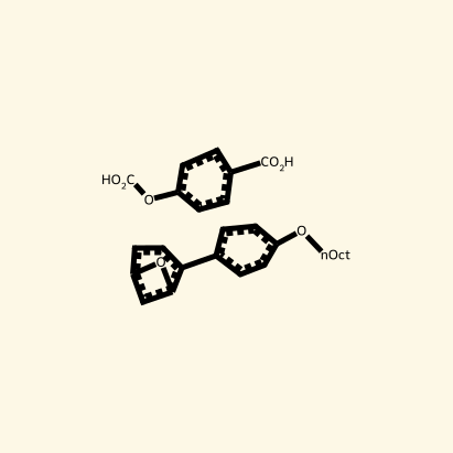 CCCCCCCCOc1ccc(-c2ccc3cc2O3)cc1.O=C(O)Oc1ccc(C(=O)O)cc1